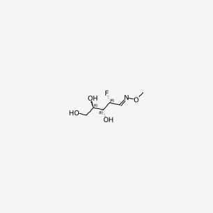 CON=C[C@@H](F)[C@H](O)[C@H](O)CO